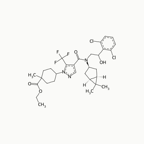 CCOC(=O)C1(C)CCC(n2ncc(C(=O)N(CC(O)c3c(Cl)cccc3Cl)[C@H]3C[C@@H]4[C@H](C3)C4(C)C)c2C(F)(F)F)CC1